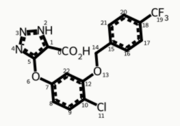 O=C(O)c1[nH]nnc1Oc1ccc(Cl)c(OCc2ccc(C(F)(F)F)cc2)c1